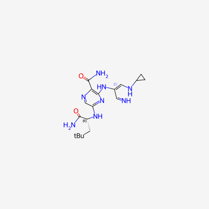 CC(C)(C)C[C@@H](Nc1cnc(C(N)=O)c(N/C(C=N)=C/NC2CC2)n1)C(N)=O